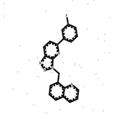 Fc1cccc(-c2ccc3nnn(Cc4cccc5cccnc45)c3n2)c1